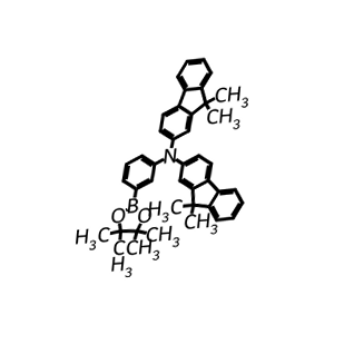 CC1(C)c2ccccc2-c2ccc(N(c3cccc(B4OC(C)(C)C(C)(C)O4)c3)c3ccc4c(c3)C(C)(C)c3ccccc3-4)cc21